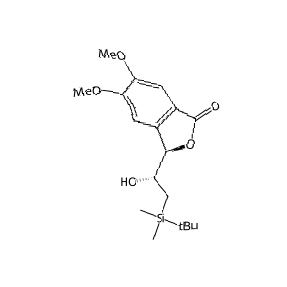 COc1cc2c(cc1OC)[C@H]([C@@H](O)C[Si](C)(C)C(C)(C)C)OC2=O